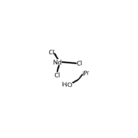 CC(C)O.[Cl][Nd]([Cl])[Cl]